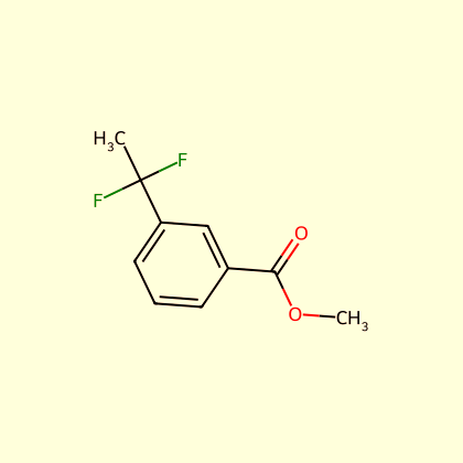 COC(=O)c1cccc(C(C)(F)F)c1